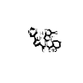 O=CC(NC(=O)c1ccc(-c2cncnc2)s1)C1CCCC[C@@H]1N1C[C@H](Cl)[C@H]2OCC(=O)[C@H]21